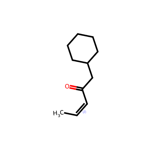 C/C=C\C(=O)CC1CCCCC1